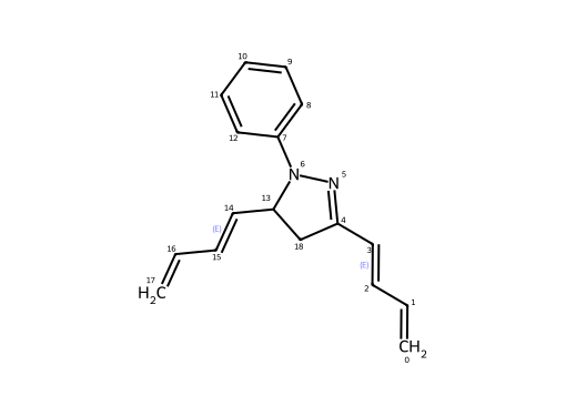 C=C/C=C/C1=NN(c2ccccc2)C(/C=C/C=C)C1